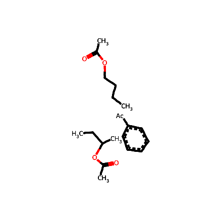 CC(=O)c1ccccc1.CCC(C)OC(C)=O.CCCCOC(C)=O